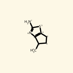 CC1CCc2sc(N)nc21